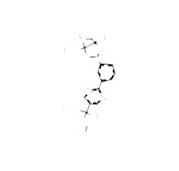 CCOC(C)(C)c1cnc(-c2cccc(B3OC(C)(C)C(C)(C)O3)c2)nc1